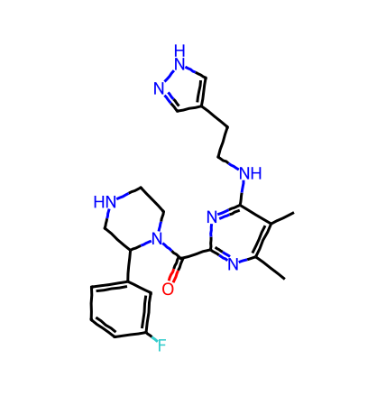 Cc1nc(C(=O)N2CCNCC2c2cccc(F)c2)nc(NCCc2cn[nH]c2)c1C